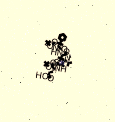 C/C(=C\[C@H](C(C)C)N(C)C(=O)C(NC(=O)[C@@H](N(C)C(=O)OC(C)(C)C)C(C)(C)c1ccccc1)C(C)(C)C)C(=O)N[C@H](CCC(=O)O)C(=O)OC(C)(C)C